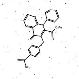 C=C1C(Cc2ccc(C(N)=O)cc2)=C(C(=O)OC)N(c2ccccc2)c2ncccc21